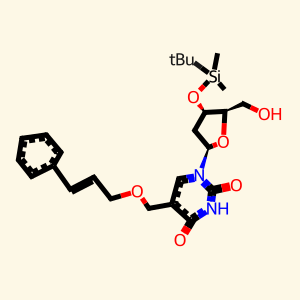 CC(C)(C)[Si](C)(C)O[C@@H]1C[C@H](n2cc(COC/C=C/c3ccccc3)c(=O)[nH]c2=O)O[C@@H]1CO